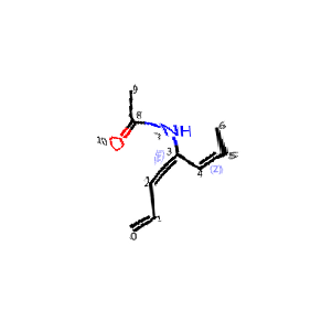 C=C/C=C(\C=C/C)NC(C)=O